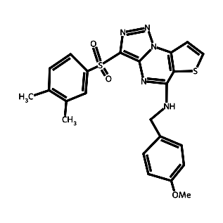 COc1ccc(CNc2nc3c(S(=O)(=O)c4ccc(C)c(C)c4)nnn3c3ccsc23)cc1